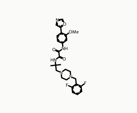 COc1cc(NC(=O)C(=O)NC(C)(C)CN2CCN(Cc3c(F)cccc3F)CC2)ccc1-c1cnco1